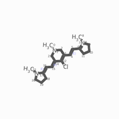 CN1CC(/C=C/C2=[N+](C)CCC2)=C(Cl)C(=C/C=C2\CCCN2C)/C1